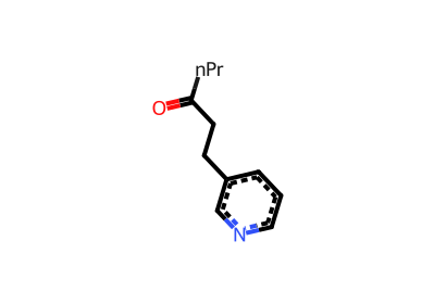 CCCC(=O)CCc1cccnc1